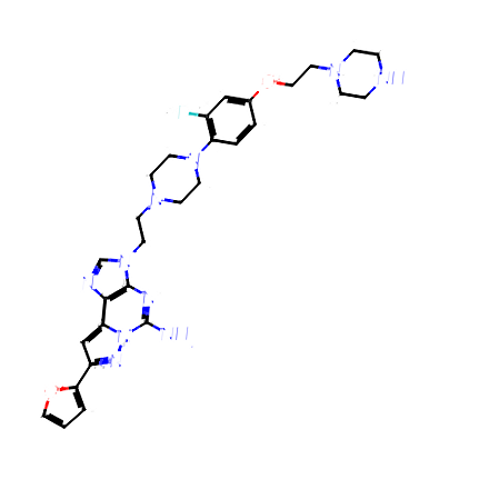 Nc1nc2c(ncn2CCN2CCN(c3ccc(OCCN4CCNCC4)cc3F)CC2)c2cc(-c3ccco3)nn12